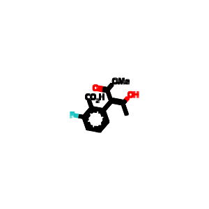 COC(=O)/C(=C(/C)O)c1cccc(F)c1C(=O)O